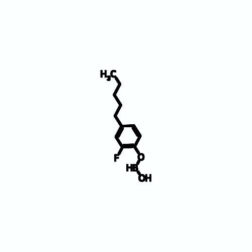 CCCCCc1ccc(OBO)c(F)c1